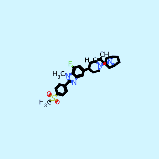 CC(C)CN1C2CCC1CC(N1CCC(c3cc(F)c4c(c3)nc(-c3ccc(S(C)(=O)=O)cc3)n4C)CC1)C2